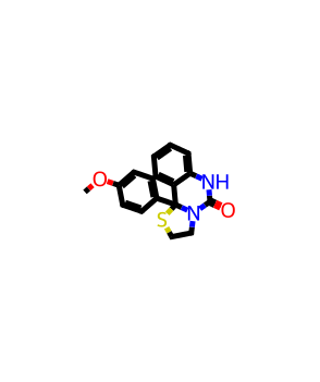 COc1ccc(C23SCCN2C(=O)Nc2ccccc23)cc1